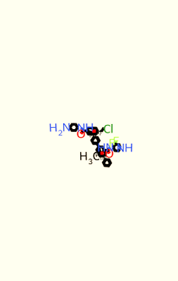 C[C@@]12CC3(C(=O)NC4CCNCC4(F)F)CC(c4ccc([C@]56CC7CC(C(=O)NC8CCC(N)CC8)(C[C@](CCCl)(C7)C5)C6)cc4)(C1)C[C@](c1ccccc1)(C3)C2